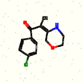 N#CC(C(=O)c1ccc(Cl)cc1)=C1COCCN1